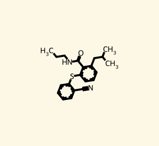 CCCNC(=O)c1c(CC(C)C)cccc1Sc1ccccc1C#N